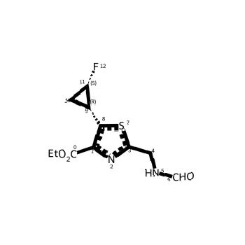 CCOC(=O)c1nc(CNC=O)sc1[C@@H]1C[C@@H]1F